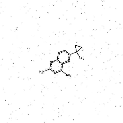 Nc1nc(N)c2nc(C3(C(F)(F)F)CC3)ccc2n1